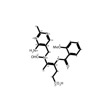 COc1ccccc1C(=O)S/C(CCC(=O)O)=C(/C)N(C=O)Cc1cnc(C)nc1N